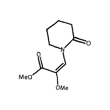 COC(=O)C(=CN1CCCCC1=O)OC